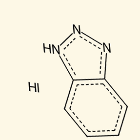 I.c1ccc2[nH]nnc2c1